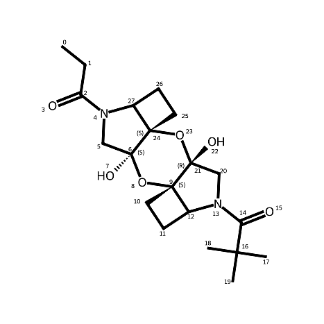 CCC(=O)N1C[C@]2(O)O[C@@]34CCC3N(C(=O)C(C)(C)C)C[C@@]4(O)O[C@]23CCC13